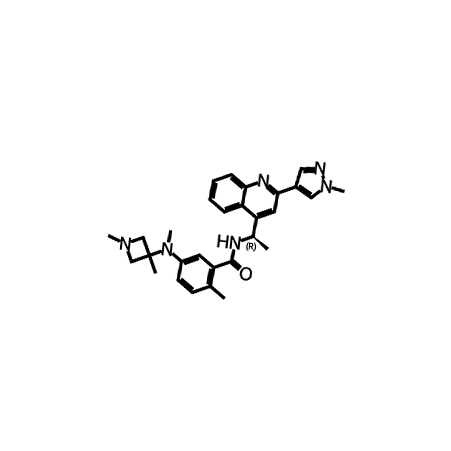 Cc1ccc(N(C)C2(C)CN(C)C2)cc1C(=O)N[C@H](C)c1cc(-c2cnn(C)c2)nc2ccccc12